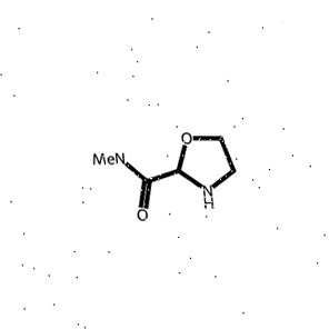 CNC(=O)C1NCCO1